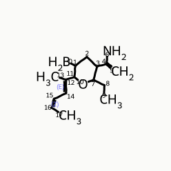 BC1CC(C(=C)N)C(CC)OC1/C(C)=C/C=C\C